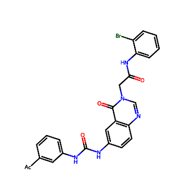 CC(=O)c1cccc(NC(=O)Nc2ccc3ncn(CC(=O)Nc4ccccc4Br)c(=O)c3c2)c1